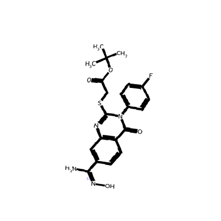 CC(C)(C)OC(=O)CSc1nc2cc(/C(N)=N\O)ccc2c(=O)n1-c1ccc(F)cc1